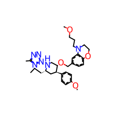 COCCCN1CCOc2ccc(CO[C@H]3CN[C@@H](CC(C)n4nnnc4C)C[C@@H]3c3ccc(OC)cc3)cc21